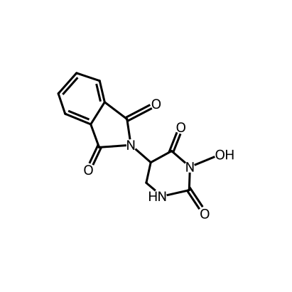 O=C1NCC(N2C(=O)c3ccccc3C2=O)C(=O)N1O